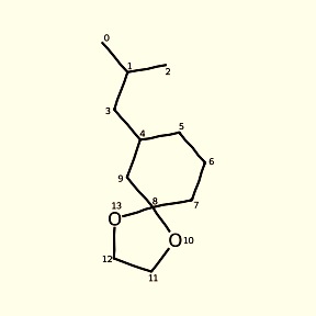 CC(C)CC1CCCC2(C1)OCCO2